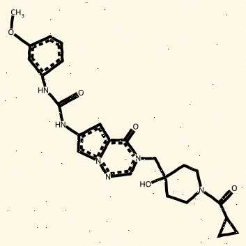 COc1cccc(NC(=O)Nc2cc3c(=O)n(CC4(O)CCN(C(=O)C5CC5)CC4)cnn3c2)c1